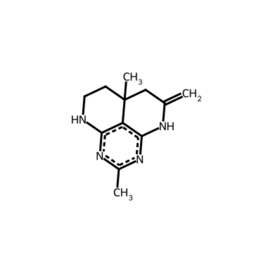 C=C1CC2(C)CCNc3nc(C)nc(c32)N1